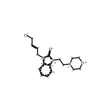 O=c1n(CC=CCCl)c2ccccc2n1CCN1CCOCC1